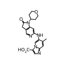 Cc1cc2ncc(C(=O)O)n2cc1Nc1cc2c(cn1)CC(=O)N2C1CCOCC1